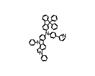 c1ccc(-n2ccc3c2ccc2c4cc(N(c5ccc(-c6cccnc6)cc5)c5ccc6c(c5)C(c5ccccc5)(c5ccccc5)c5ccccc5-6)ccc4n(-c4ccccc4)c23)cc1